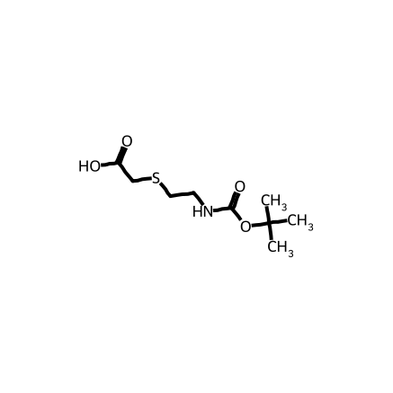 CC(C)(C)OC(=O)NCCSCC(=O)O